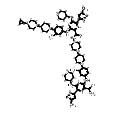 Cc1cc(-c2nc(C(N)=O)c(Nc3ccc(N4CCC(N5CCN(NC(=O)c6nc(-c7cc(C)[nH]n7)c(NC7CCOCC7)nc6Nc6ccc(N7CCC(N8CCN(C9CC9)CC8)CC7)c(C)c6)CC5)CC4)c(C)c3)nc2NC2CCOCC2)n[nH]1